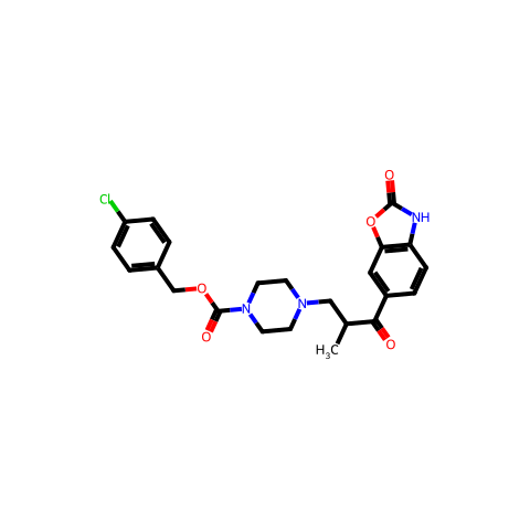 CC(CN1CCN(C(=O)OCc2ccc(Cl)cc2)CC1)C(=O)c1ccc2[nH]c(=O)oc2c1